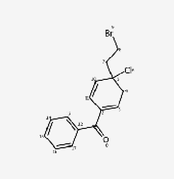 O=C(C1=CCC(Cl)(CCBr)C=C1)c1ccccc1